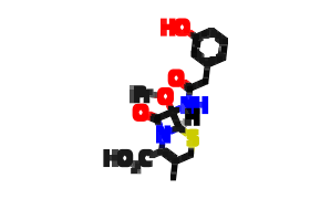 CC1=C(C(=O)O)N2C(=O)C(NC(=O)Cc3cccc(O)c3)(OC(C)C)[C@H]2SC1